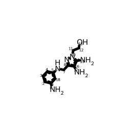 Nc1cccc(NCc2nn(CCO)c(N)c2N)c1